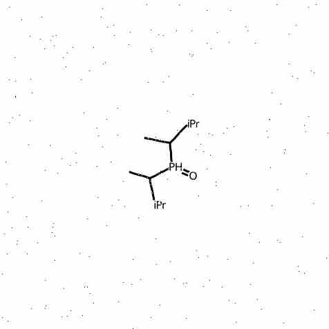 CC(C)C(C)[PH](=O)C(C)C(C)C